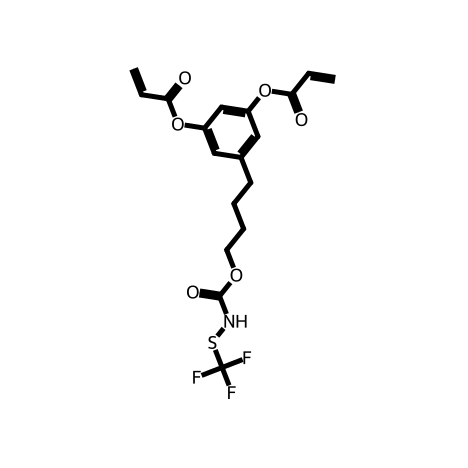 C=CC(=O)Oc1cc(CCCCOC(=O)NSC(F)(F)F)cc(OC(=O)C=C)c1